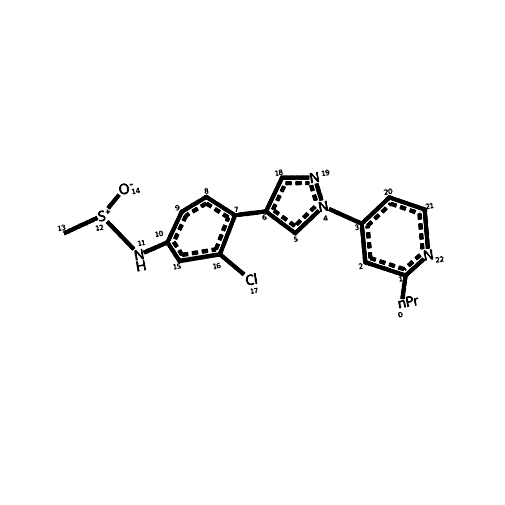 CCCc1cc(-n2cc(-c3ccc(N[S+](C)[O-])cc3Cl)cn2)ccn1